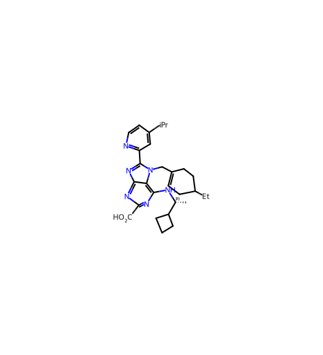 CCC1CC=C(Cn2c(-c3cc(C(C)C)ccn3)nc3nc(C(=O)O)nc(N[C@H](C)C4CCC4)c32)CC1